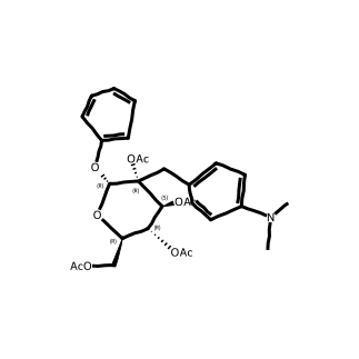 CC(=O)OC[C@H]1O[C@H](Oc2ccccc2)[C@](Cc2ccc(N(C)C)cc2)(OC(C)=O)[C@@H](OC(C)=O)[C@@H]1OC(C)=O